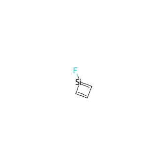 F[Si]1=CC=C1